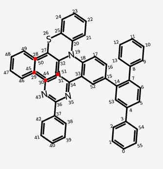 c1ccc(-c2ccc(-c3ccccc3)c(-c3ccc(N4c5ccccc5Sc5ccccc54)c(-c4nc(-c5ccccc5)nc(-c5ccccc5)n4)c3)c2)cc1